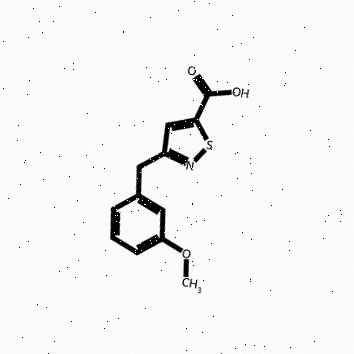 COc1cccc(Cc2cc(C(=O)O)sn2)c1